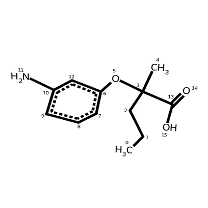 CCCC(C)(Oc1cccc(N)c1)C(=O)O